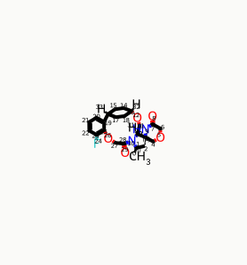 C[C@@H]1C[C@]2(COCC(=O)N2)[C@H]2CO[C@H]3CC[C@H](CC3)c3cccc(F)c3OCC(=O)N12